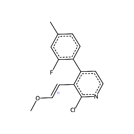 CO/C=C/c1c(-c2ccc(C)cc2F)ccnc1Cl